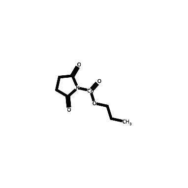 CCC[O][Co](=[O])[N]1C(=O)CCC1=O